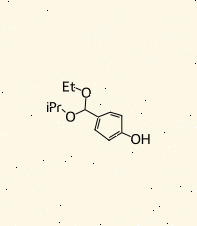 CCOC(OC(C)C)c1ccc(O)cc1